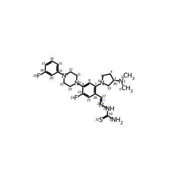 CN(C)[C@@H]1CCN(c2cc(N3CCN(c4cccc(F)c4)CC3)c(F)cc2/C=N/NC(N)=S)C1